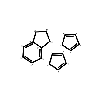 C1=CCC=C1.C1=CCC=C1.c1ccc2c(c1)CCC2